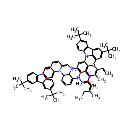 C=CC1=C(C)N(C(=C)/C=C\CC)c2cc(N3C=C(/C=C\C=C\n4c5ccc(C(C)(C)C)cc5c5cc(C(C)(C)C)ccc54)N(c4ccccc4)C4C=CC=C(N(C/C=C\CC)C(=C)/C=C\CC)C43)cc3c2B1c1cc(C(C)(C)C)cc2c4cc(C(C)(C)C)ccc4n-3c12